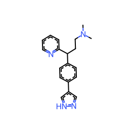 CN(C)CCC(c1ccc(-c2cn[nH]c2)cc1)c1ccccn1